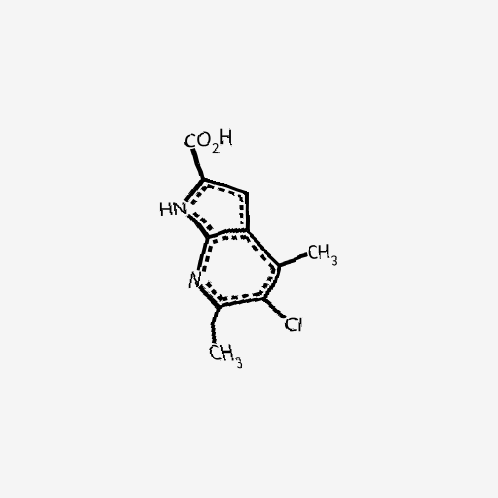 Cc1nc2[nH]c(C(=O)O)cc2c(C)c1Cl